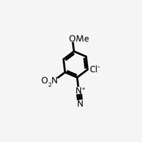 COc1ccc([N+]#N)c([N+](=O)[O-])c1.[Cl-]